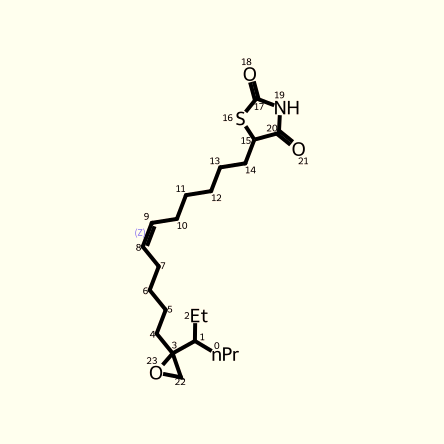 CCCC(CC)C1(CCCC/C=C\CCCCCC2SC(=O)NC2=O)CO1